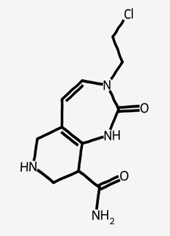 NC(=O)C1CNCC2=C1NC(=O)N(CCCl)C=C2